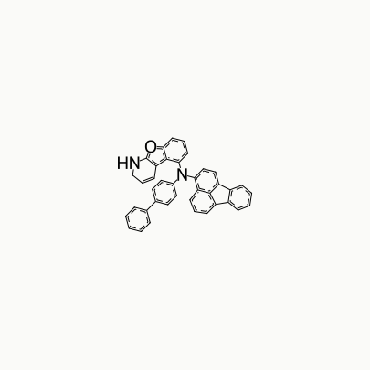 C1=Cc2c(oc3cccc(N(c4ccc(-c5ccccc5)cc4)c4ccc5c6c(cccc46)-c4ccccc4-5)c23)NC1